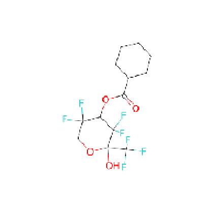 O=C(OC1C(F)(F)COC(O)(C(F)(F)F)C1(F)F)C1CCCCC1